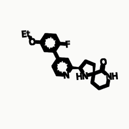 CCOc1ccc(F)c(-c2ccnc([C@H]3CC[C@@]4(CCCNC4=O)N3)c2)c1